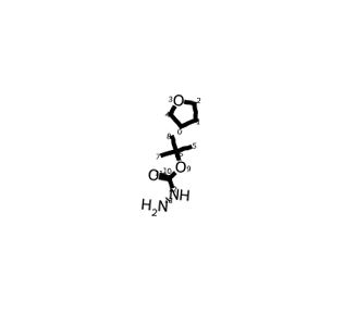 C1CCOC1.CC(C)(C)OC(=O)NN